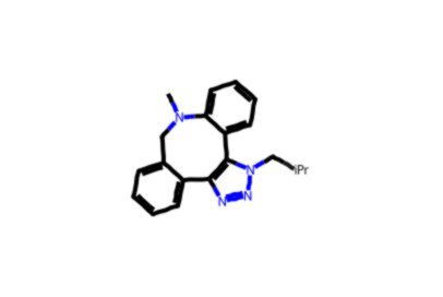 CC(C)Cn1nnc2c1-c1ccccc1N(C)Cc1ccccc1-2